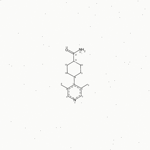 Cc1cncc(C)c1C1CCC(C(N)=O)CC1